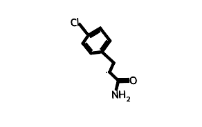 NC(=O)[CH]Cc1ccc(Cl)cc1